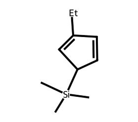 CCC1=CC([Si](C)(C)C)C=C1